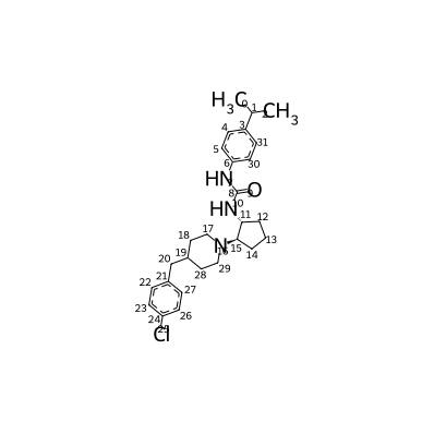 CC(C)c1ccc(NC(=O)N[C@@H]2CCC[C@H]2N2CCC(Cc3ccc(Cl)cc3)CC2)cc1